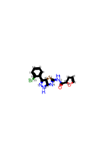 O=C(Nc1nc2[nH]nc(-c3ccccc3Br)c2s1)C1CC=CO1